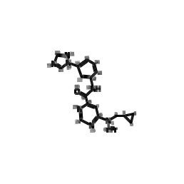 CCCN(CC1CC1)c1cc(C(=O)Nc2cccc(-n3cncn3)c2)ncn1